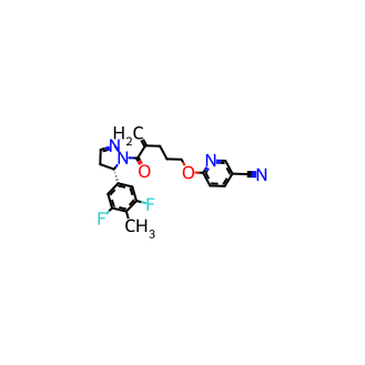 C=C(CCCOc1ccc(C#N)cn1)C(=O)N1N=CC[C@H]1c1cc(F)c(C)c(F)c1